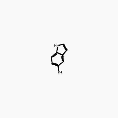 Sc1ccc2[nH]ccc2c1